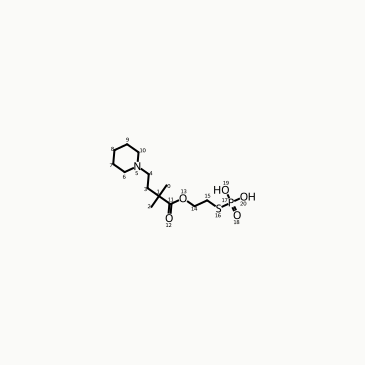 CC(C)(CCN1CCCCC1)C(=O)OCCSP(=O)(O)O